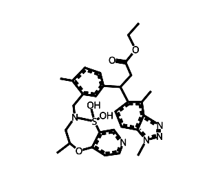 CCOC(=O)CC(c1ccc(C)c(CN2CC(C)Oc3ccncc3S2(O)O)c1)c1ccc2c(nnn2C)c1C